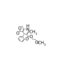 COCCOC(=O)C1=C(C)NC2=C(C(=O)OC2)C1c1ccccc1